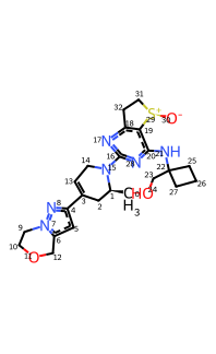 C[C@H]1CC(c2cc3n(n2)CCOC3)=CCN1c1nc2c(c(NC3(CO)CCC3)n1)[S@+]([O-])CC2